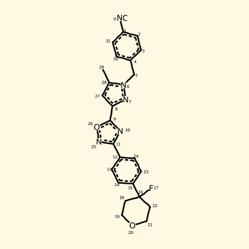 [C-]#[N+]c1ccc(Cn2nc(-c3nc(-c4ccc(C5(F)CCOCC5)cc4)no3)cc2C)cc1